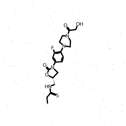 CCC(=S)NC[C@H]1CN(c2ccc(N3CCN(C(=O)CO)CC3)c(F)c2)C(=O)O1